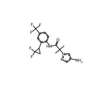 CC(C)(C(=O)Nc1ccc(C(F)(F)F)cc1C1CC1(F)F)n1cc(N)cn1